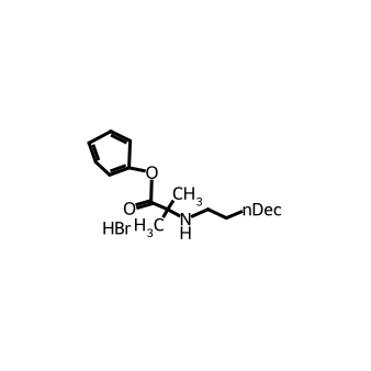 Br.CCCCCCCCCCCCNC(C)(C)C(=O)Oc1ccccc1